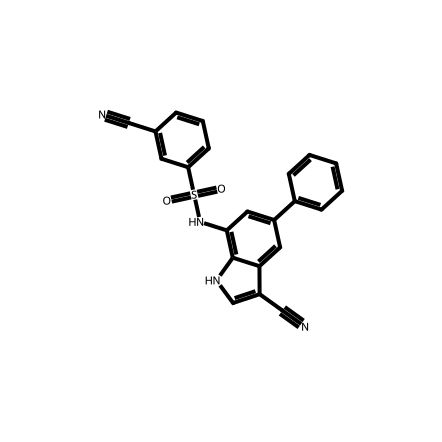 N#Cc1cccc(S(=O)(=O)Nc2cc(-c3ccccc3)cc3c(C#N)c[nH]c23)c1